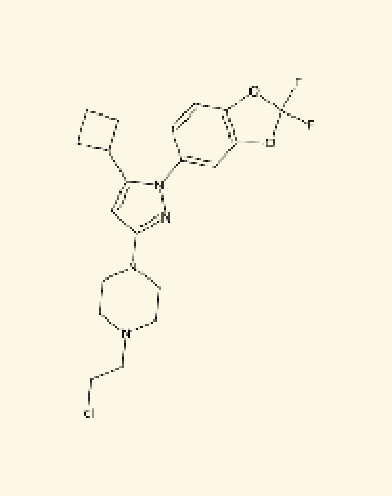 FC1(F)Oc2ccc(-n3nc(N4CCN(CCCl)CC4)cc3C3CCC3)cc2O1